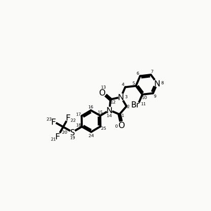 O=C1CN(Cc2ccncc2Br)C(=O)N1c1ccc(SC(F)(F)F)cc1